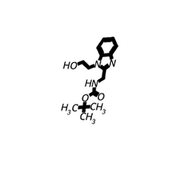 CC(C)(C)OC(=O)NCc1nc2ccccc2n1CCO